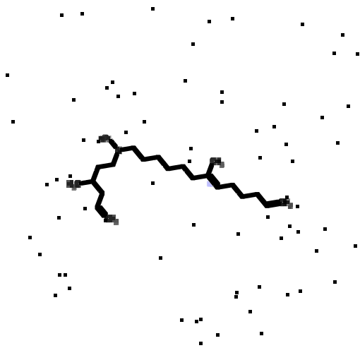 C=CCCC/C=C(\C)CCCCCCN(CCC)CCC(C)CC=C